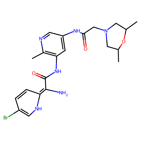 Cc1ncc(NC(=O)CN2CC(C)OC(C)C2)cc1NC(=O)/C(N)=C1\C=CC(Br)=CN1